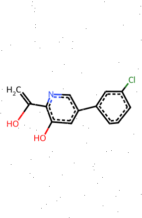 C=C(O)c1ncc(-c2cccc(Cl)c2)cc1O